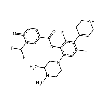 CC1CN(c2cc(F)c(C3=CCNCC3)c(F)c2NC(=O)c2ccc(=O)n(C(F)F)c2)CCN1C